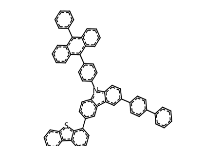 c1ccc(-c2ccc(-c3ccc4c(c3)c3cc(-c5cccc6c5sc5ccccc56)ccc3n4-c3ccc(-c4c5ccccc5c(-c5ccccc5)c5ccccc45)cc3)cc2)cc1